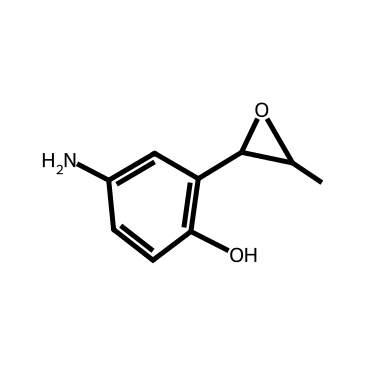 CC1OC1c1cc(N)ccc1O